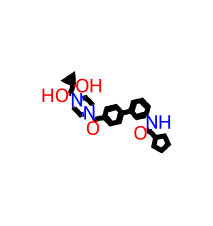 O=C(Nc1cccc(-c2ccc(C(=O)N3CCN(C(O)C4(O)CC4)CC3)cc2)c1)C1CCCC1